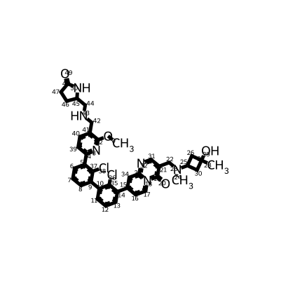 COc1nc(-c2cccc(-c3cccc(-c4ccn5c(=O)c(CN(C)C6CC(C)(O)C6)cnc5c4)c3Cl)c2Cl)ccc1CNCC1CCC(=O)N1